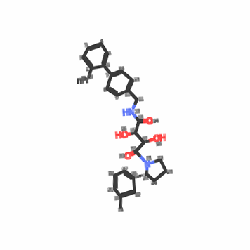 CCCc1ccccc1-c1ccc(CNC(=O)[C@H](O)[C@@H](O)C(=O)N2CCC[C@@H]2c2cccc(C)c2)cc1